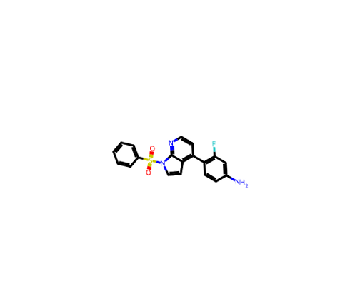 Nc1ccc(-c2ccnc3c2ccn3S(=O)(=O)c2ccccc2)c(F)c1